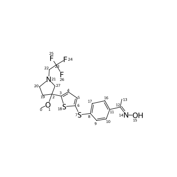 COC1(c2ccc(Sc3ccc(/C(C)=N/O)cc3)s2)CCN(CC(F)(F)F)C1